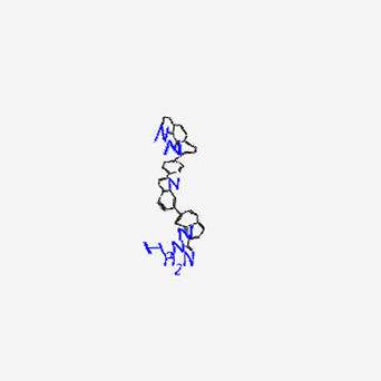 N/C=C(\N)c1ccc2ccc(-c3ccc4ccc(-c5ccc(-c6ccc7ccc8cccnc8c7n6)cc5)nc4c3)cc2n1